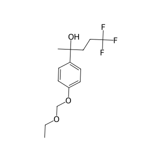 CCOCOc1ccc(C(C)(O)CCC(F)(F)F)cc1